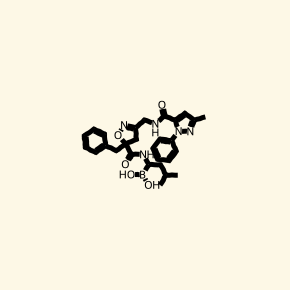 Cc1cc(C(=O)NCC2=NOC(Cc3ccccc3)(C(=O)NC(CC(C)C)B(O)O)C2)n(-c2ccccc2)n1